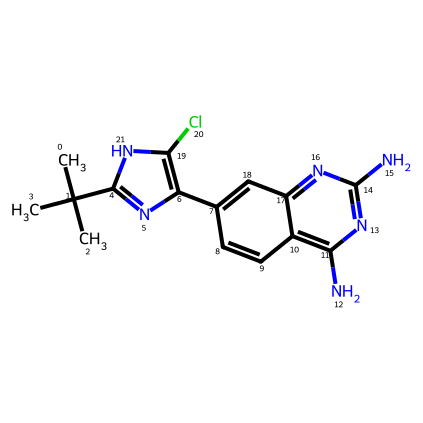 CC(C)(C)c1nc(-c2ccc3c(N)nc(N)nc3c2)c(Cl)[nH]1